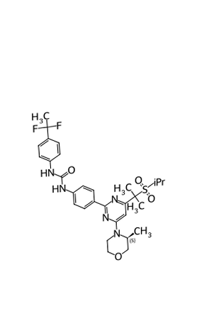 CC(C)S(=O)(=O)C(C)(C)c1cc(N2CCOC[C@@H]2C)nc(-c2ccc(NC(=O)Nc3ccc(C(C)(F)F)cc3)cc2)n1